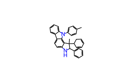 Cc1ccc(-n2c3ccccc3c3ccc4c(c32)C(C)(C2C=CC=CC2)C(c2ccccc2)N4)cc1